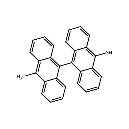 Cc1c2ccccc2c(-c2c3ccccc3c(S)c3ccccc23)c2ccccc12